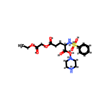 CCOC(=O)COC(=O)CC[C@@H](NS(=O)(=O)c1ccccc1)C(=O)ON1CCNCC1